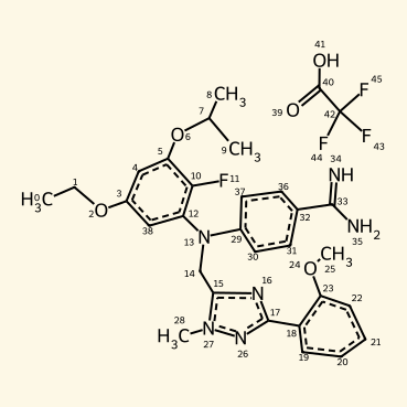 CCOc1cc(OC(C)C)c(F)c(N(Cc2nc(-c3ccccc3OC)nn2C)c2ccc(C(=N)N)cc2)c1.O=C(O)C(F)(F)F